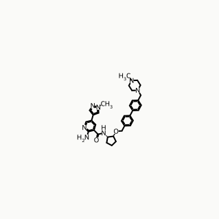 CN1CCN(Cc2ccc(-c3ccc(CO[C@H]4CCC[C@@H]4NC(=O)c4cc(-c5cnn(C)c5)cnc4N)cc3)cc2)CC1